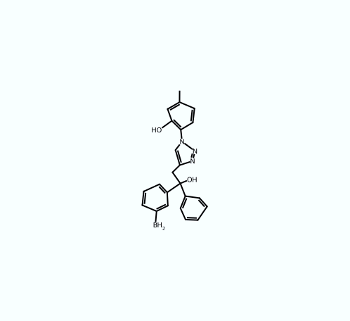 Bc1cccc(C(O)(Cc2cn(-c3ccc(C)cc3O)nn2)c2ccccc2)c1